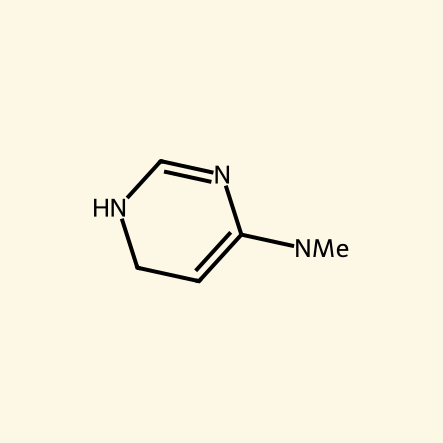 CNC1=CCNC=N1